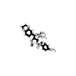 Cc1ccc(S(=O)(=O)OCC(N=[N+]=[N-])C(O[Si](C)(C)C)c2ccc3c(c2)OCCO3)cc1